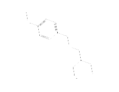 CCC(CBr)COCc1ccc(OC)cc1